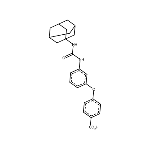 O=C(Nc1cccc(Oc2ccc(C(=O)O)cc2)c1)NC12CC3CC(CC(C3)C1)C2